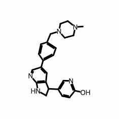 CN1CCN(Cc2ccc(-c3cnc4c(c3)C(c3ccc(O)nc3)CN4)cc2)CC1